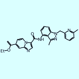 C=C(OCC)c1ccn2c(C(=O)Nc3cccc4c3c(C)nn4Cc3cccc(C)n3)cnc2c1